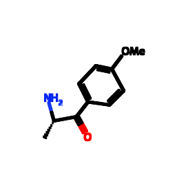 COc1ccc(C(=O)[C@H](C)N)cc1